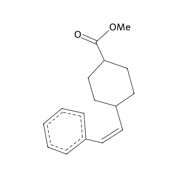 COC(=O)C1CCC(/C=C\c2ccccc2)CC1